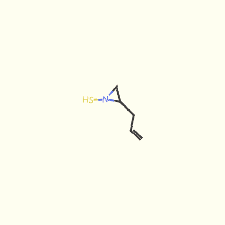 C=CCC1CN1S